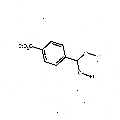 CCOC(=O)c1ccc(C(OCC)OCC)cc1